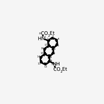 CCOC(=O)Nc1cccc2cc3c(NC(=O)OCC)cccc3cc12